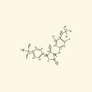 Cc1cc(CN2C(=O)CN(c3ccc(C(F)(F)F)cc3)C2=O)cc(C)c1OC(C)(C)C